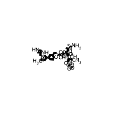 C[n+]1cc(-c2ccc3c(c2)CC[C@H]([C@](C)(O/N=C(\C(=O)N[C@@H]2C(=O)N(OS(=O)(=O)[O-])C2(C)C)c2csc(N)n2)C(=O)O)O3)cn1CC1(N)CNC1